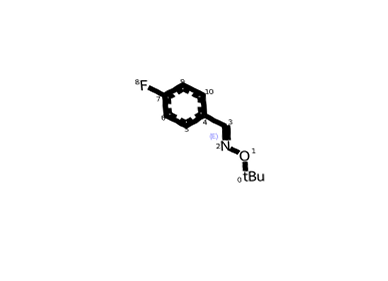 CC(C)(C)O/N=[C]/c1ccc(F)cc1